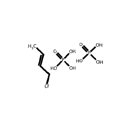 CC=CCCl.O=P(O)(O)O.O=P(O)(O)O